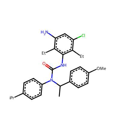 CCc1c(N)cc(Cl)c(CC)c1NC(=O)N(c1ccc(C(C)C)cc1)C(C)c1ccc(OC)cc1